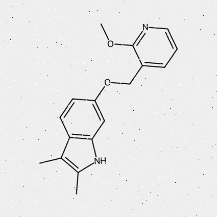 COc1ncccc1COc1ccc2c(C)c(C)[nH]c2c1